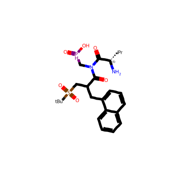 CC(C)[C@H](N)C(=O)N(C[PH](=O)O)C(=O)C(Cc1cccc2ccccc12)CS(=O)(=O)C(C)(C)C